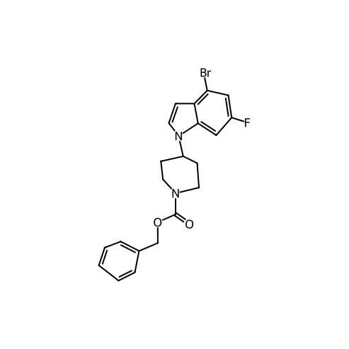 O=C(OCc1ccccc1)N1CCC(n2ccc3c(Br)cc(F)cc32)CC1